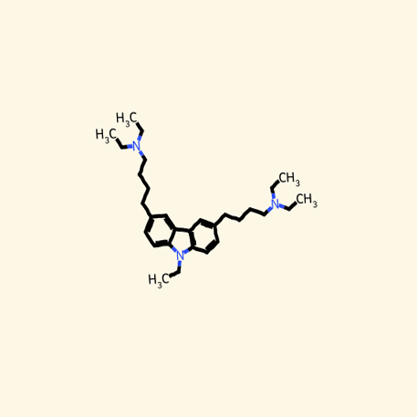 CCN(CC)CCCCc1ccc2c(c1)c1cc(CCCCN(CC)CC)ccc1n2CC